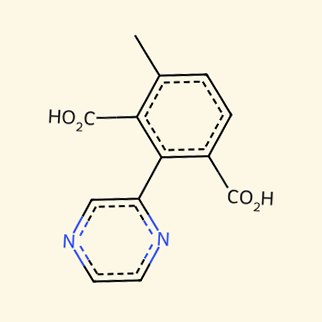 Cc1ccc(C(=O)O)c(-c2cnccn2)c1C(=O)O